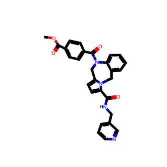 COC(=O)c1ccc(C(=O)N2Cc3ccc(C(=O)NCc4cccnc4)n3Cc3ccccc32)cc1